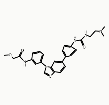 COCC(=O)Nc1cccc(-n2cnc3ccc(-c4ccc(NC(=O)NCCN(C)C)cc4)cc32)c1